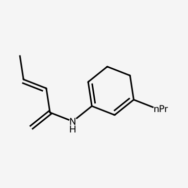 C=C(/C=C/C)NC1=CCCC(CCC)=C1